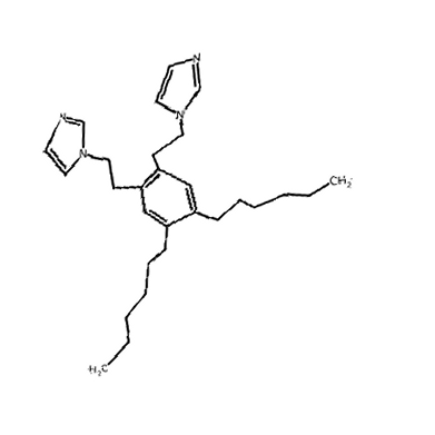 [CH2]CCCCCc1cc(CCn2ccnc2)c(CCn2ccnc2)cc1CCCCC[CH2]